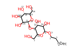 CCCCCCCCCCCCO[C@H]1OC(CO)[C@@H](O[C@@H]2OC(CO)[C@@H](O)[C@H](O)C2O)[C@H](O)C1O